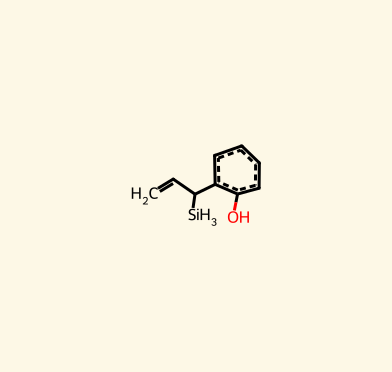 C=CC([SiH3])c1ccccc1O